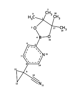 CC1(C)OB(c2ccc(C3(C#N)CC3)cn2)OC1(C)C